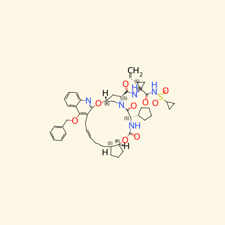 C=C[C@@H]1C[C@]1(NC(=O)[C@@H]1C[C@@H]2CN1C(=O)[C@H](C1CCCC1)NC(=O)O[C@@H]1CCC[C@H]1CCC=CCc1c(nc3ccccc3c1OCc1ccccc1)O2)C(=O)NS(=O)(=O)C1CC1